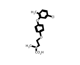 Cc1ccc(Cl)cc1Oc1ccc(OCCN(C)C(=O)O)cc1